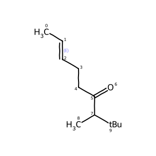 C/C=C/CCC(=O)C(C)C(C)(C)C